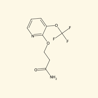 NC(=O)CCOc1ncccc1OC(F)(F)F